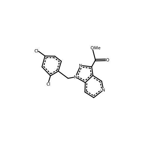 COC(=O)c1nn(Cc2ccc(Cl)cc2Cl)c2ccncc12